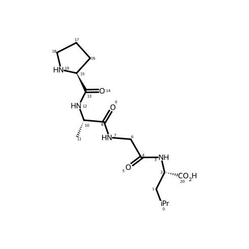 CC(C)C[C@H](NC(=O)CNC(=O)[C@H](C)NC(=O)[C@@H]1CCCN1)C(=O)O